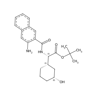 CC(C)(C)OC(=O)[C@@H](NC(=O)c1cc2ccccc2cc1N)[C@H]1CCC[C@@H](O)C1